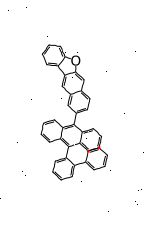 c1ccc(-c2ccccc2-c2c3ccccc3c(-c3ccc4cc5oc6ccccc6c5cc4c3)c3ccccc23)cc1